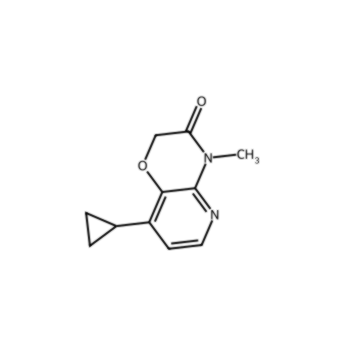 CN1C(=O)COc2c(C3CC3)ccnc21